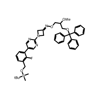 COC(CON=C1CN(c2ncc(-c3cccc(CO[Si](C)(C)C(C)(C)C)c3F)cn2)C1)COC(c1ccccc1)(c1ccccc1)c1ccccc1